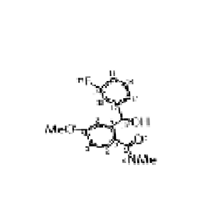 CNC(=O)c1ccc(OC)cc1C(O)c1cccc(F)c1